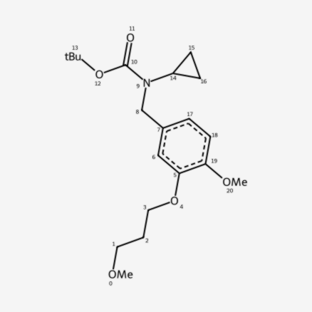 COCCCOc1cc(CN(C(=O)OC(C)(C)C)C2CC2)ccc1OC